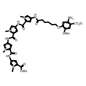 CCOC(=O)c1cc(OC)c(OCCCCCC(=O)Nc2cc(C(=O)Nc3cc(C(=O)Nc4cc(C(=O)Nc5cc(C(=O)OC)n(C)c5)n(C)c4)n(C)c3)n(C)c2)cc1N